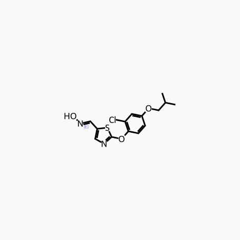 CC(C)COc1ccc(Oc2ncc(/C=N/O)s2)c(Cl)c1